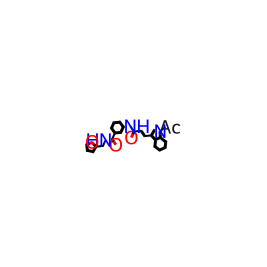 CC(=O)n1cc(C=CC(=O)Nc2cccc(C(=O)NCc3ccco3)c2)c2ccccc21